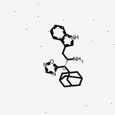 NC(Cc1c[nH]c2ccccc12)[C@@H](c1ncno1)C12CC3CC(CC(C3)C1)C2